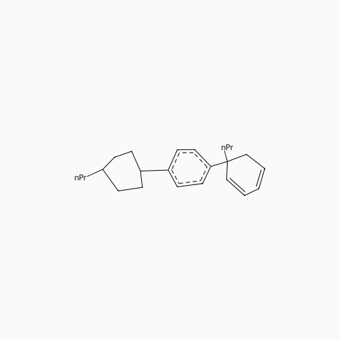 CCCC1CCC(c2ccc(C3(CCC)C=CC=CC3)cc2)CC1